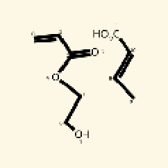 C=CC(=O)OCCO.CC=CC(=O)O